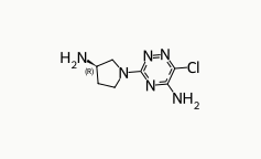 Nc1nc(N2CC[C@@H](N)C2)nnc1Cl